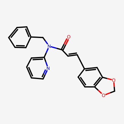 O=C(/C=C/c1ccc2c(c1)OCO2)N(Cc1ccccc1)c1ccccn1